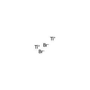 [Br-].[Br-].[Tl+].[Tl+]